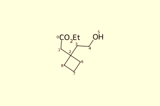 CCOC(=O)CC1(CCO)CCC1